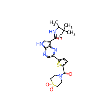 C[C@H](NC(=O)c1c[nH]c2ncc(-c3ccc(C(=O)N4CCS(=O)(=O)CC4)s3)nc12)C(C)(C)C